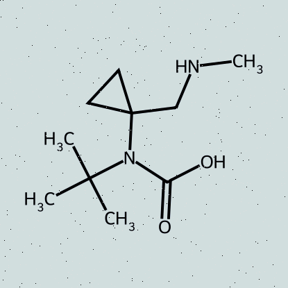 CNCC1(N(C(=O)O)C(C)(C)C)CC1